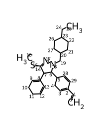 C=CC1=CCC(C2C(C3=CCCC=C3)C(SC)=NN2CC2CCC(CC)CC2)C=C1